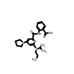 CCCN(c1cc(N2CCCC2)cc(C(=O)Nc2ccccc2C(=O)O)n1)C(C)C